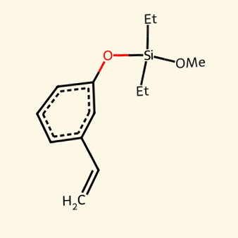 C=Cc1cccc(O[Si](CC)(CC)OC)c1